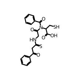 O=C(CC(=S)NCC(=O)N(C(=O)c1ccccc1)C(CS)C(=O)O)c1ccccc1